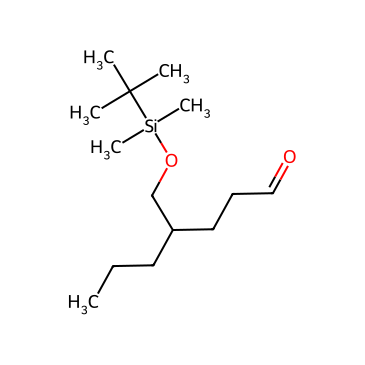 CCCC(CCC=O)CO[Si](C)(C)C(C)(C)C